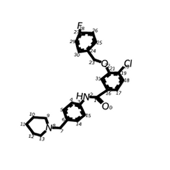 O=C(Nc1ccc(CN2CCCCC2)cc1)c1ccc(Cl)c(OCc2ccc(F)cc2)c1